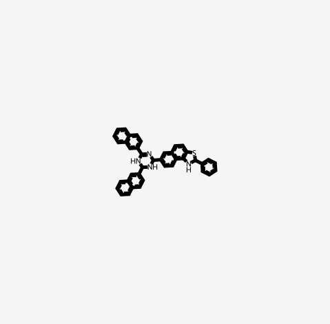 c1ccc(C2Nc3c(ccc4cc(C5N=C(c6ccc7ccccc7c6)NC(c6ccc7ccccc7c6)N5)ccc34)S2)cc1